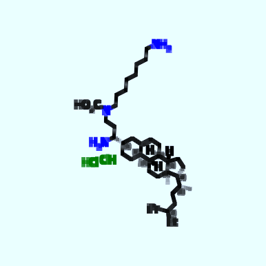 CC[C@H](CC[C@@H](C)[C@H]1CC[C@H]2[C@@H]3CC=C4C[C@@H](C(N)CCN(CCCCCCCCN)C(=O)O)CC[C@]4(C)[C@H]3CC[C@]12C)C(C)C.Cl.Cl